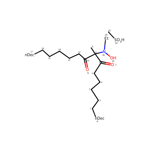 CCCCCCCCCCCCCCCC(=O)C(C)(C(=O)CCCCCCCCCCCCCCC)N(O)CC.CS(=O)(=O)O